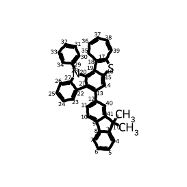 CC1(C)c2ccccc2-c2ccc(-c3cc4sc5c(c4c4c3c3ccccc3n4-c3ccccc3)CC=CC=C5)cc21